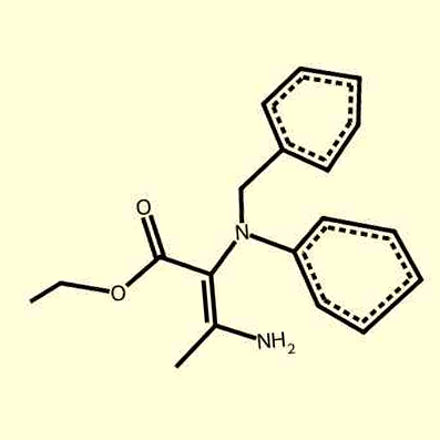 CCOC(=O)C(=C(C)N)N(Cc1ccccc1)c1ccccc1